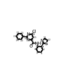 O=C(Nc1ccccc1-c1nccs1)c1cc(Cl)nc(-c2ccccc2)n1